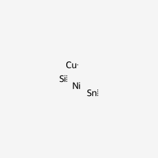 [Cu].[Ni].[Si].[Sn]